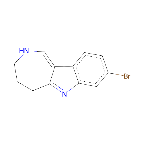 Brc1ccc2c(c1)N=C1CCCNC=C12